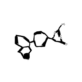 Nc1nc(=O)cc(-c2ccc(-c3cccc4ccccc34)cc2)o1